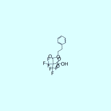 O=C(OCCc1ccccc1)C(C(F)(F)F)(C(F)(F)F)S(=O)(=O)O